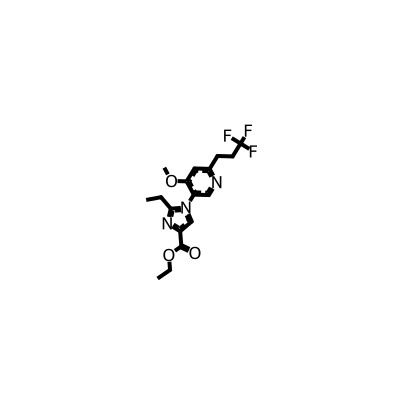 CCOC(=O)c1cn(-c2cnc(CCC(F)(F)F)cc2OC)c(CC)n1